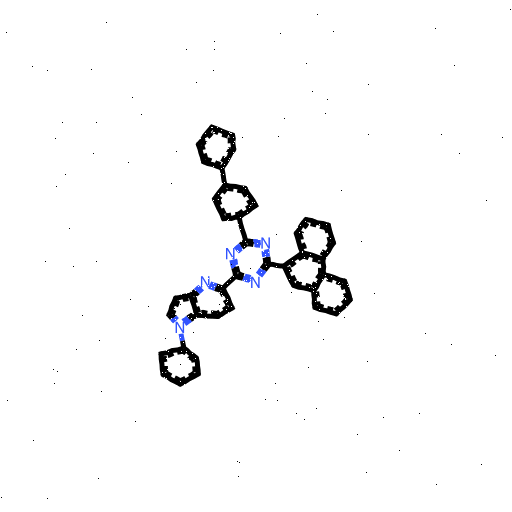 c1ccc(-c2ccc(-c3nc(-c4ccc5c(ccn5-c5ccccc5)n4)nc(-c4cc5ccccc5c5ccccc45)n3)cc2)cc1